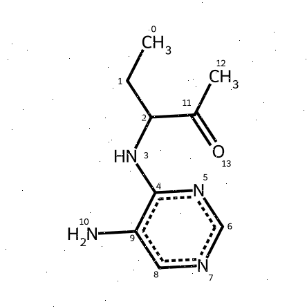 CCC(Nc1ncncc1N)C(C)=O